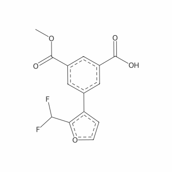 COC(=O)c1cc(C(=O)O)cc(-c2ccoc2C(F)F)c1